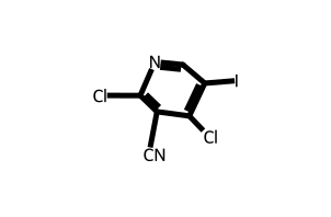 N#Cc1c(Cl)ncc(I)c1Cl